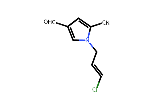 N#Cc1cc(C=O)cn1CC=CCl